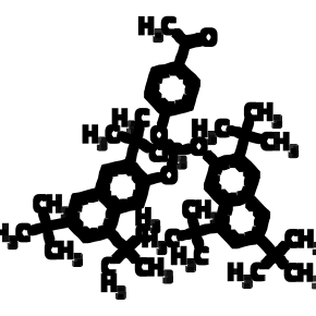 CC(=O)c1ccc(OP(Oc2cc3c(C(C)(C)C)cc(C(C)(C)C)cc3cc2C(C)(C)C)Oc2cc3c(C(C)(C)C)cc(C(C)(C)C)cc3cc2C(C)(C)C)cc1